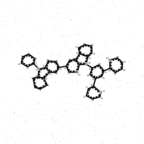 c1ccc(-n2c3ccccc3c3cc(-c4cnc5c(c4)c4ccccc4n5-c4cc(-c5ccccn5)cc(-c5ccccn5)c4)ccc32)cc1